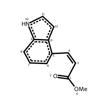 COC(=O)/C=C\c1cccc2[nH]ccc12